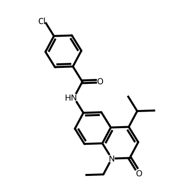 CCn1c(=O)cc(C(C)C)c2cc(NC(=O)c3ccc(Cl)cc3)ccc21